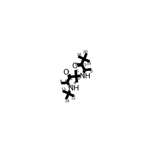 CC(NC(C)(C)C(=O)C(C)NC(C)(C)C)C(=O)C(C)(C)C